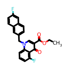 CCOC(=O)c1cn(Cc2ccc3cc(F)ccc3c2)c2cccc(F)c2c1=O